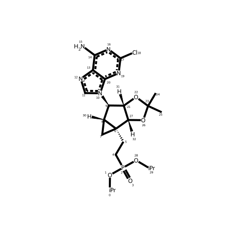 CC(C)OP(=O)(CC[C@]12C[C@@H]1[C@@H](n1cnc3c(N)nc(Cl)nc31)[C@@H]1OC(C)(C)O[C@@H]12)OC(C)C